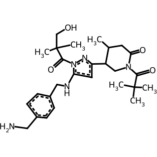 CC1CC(=O)N(C(=O)C(C)(C)C)CC1c1cc(NCc2ccc(CN)cc2)n(C(=O)C(C)(C)CO)n1